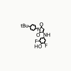 CC(C)(C)c1ccc(N2C(=O)C=C(Nc3cc(F)c(O)c(F)c3)C2=O)cc1